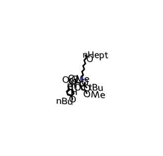 CCCCCCCC(=O)CCCCCC/C=C/C(C(=O)N[C@@H](Cc1ccc(OCCCC)cc1)C(=O)OC)C(O)(CCOC)C(=O)OC(C)(C)C